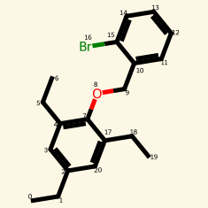 CCc1cc(CC)c(OCc2ccccc2Br)c(CC)c1